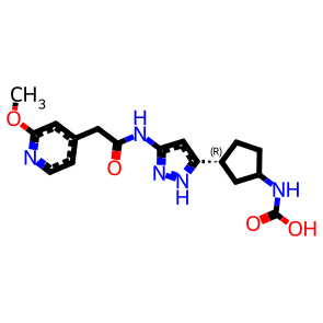 COc1cc(CC(=O)Nc2cc([C@@H]3CCC(NC(=O)O)C3)[nH]n2)ccn1